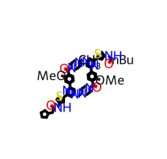 CCCCC(=O)Nc1csc(-c2cncc(-c3ccc(C(=O)N4CCN(C[n+]5cc(-c6ccc(C(=O)N7CCN(C)CC7)c(OC)c6)nc(-c6cc(NC(=O)CC7CCCC7)cs6)c5)CC4)c(OC)c3)n2)c1